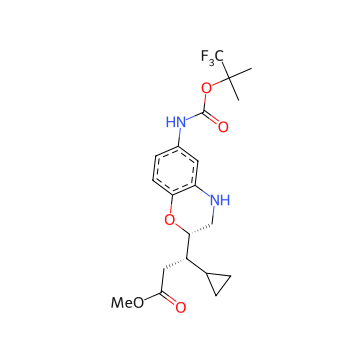 COC(=O)C[C@@H](C1CC1)[C@H]1CNc2cc(NC(=O)OC(C)(C)C(F)(F)F)ccc2O1